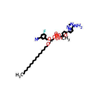 CCCCCCCCCCCCCCCCCCOC[C@@H](COP(=O)(O)OC[C@]1(C)CC[C@H](c2ccc3c(N)ncnn23)O1)OCc1cc(F)cc(C#N)c1